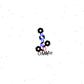 COC(=O)c1c(OC)cccc1N(CCN1CCN(c2ccccc2)CC1)Cc1ccccc1